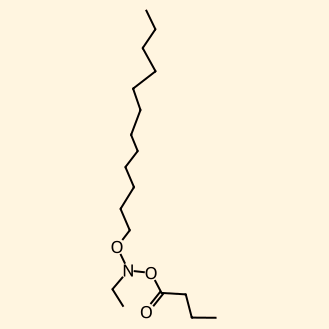 CCCCCCCCCCCCON(CC)OC(=O)CCC